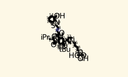 CC(C)C[C@H]1ON(C(=O)/C=C/c2nc3c(O)cccc3s2)[C@H]2CN([C@H]3CCN(CCCCOP(=O)(O)O)C3)C(=O)[C@H](CC(C)(C)C)N2C1=O